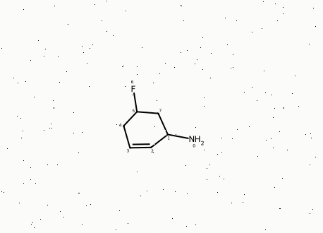 NC1C=CCC(F)C1